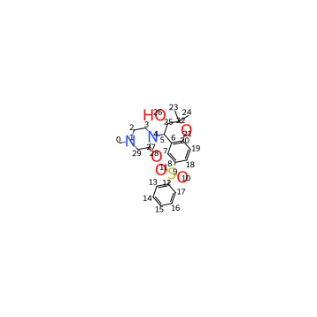 CN1CCN([C@@H]2c3cc(S(=O)(=O)c4ccccc4)ccc3OC(C)(C)[C@H]2O)C(=O)C1